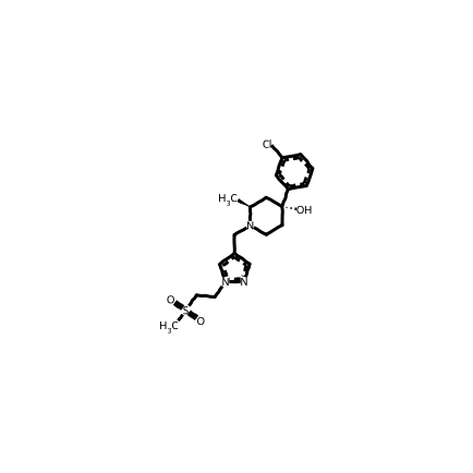 C[C@H]1C[C@@](O)(c2cccc(Cl)c2)CCN1Cc1cnn(CCS(C)(=O)=O)c1